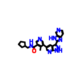 Cc1c(C(=O)NCC2CCCC2)cncc1-c1cnc2[nH]nc(-c3nc4ccncc4[nH]3)c2c1